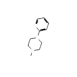 IN1CCN(c2ccccn2)CC1